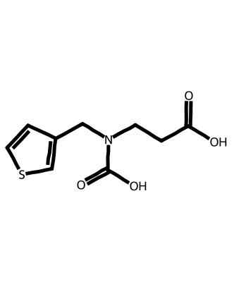 O=C(O)CCN(Cc1ccsc1)C(=O)O